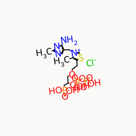 Cc1ncc(C[n+]2csc(CCOCC(CP(=O)(O)O)OP(=O)(O)OP(=O)(O)O)c2C)c(N)n1.[Cl-]